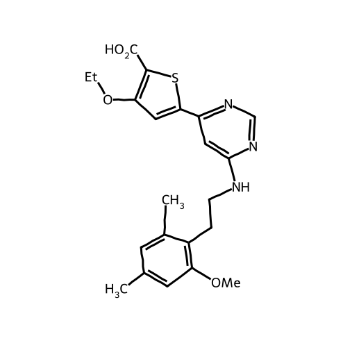 CCOc1cc(-c2cc(NCCc3c(C)cc(C)cc3OC)ncn2)sc1C(=O)O